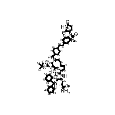 Cn1c(=O)n(C2CCC(=O)NC2=O)c2ccc(CCC3CCC(C(=O)N4CCC5=CC[C@@H](C(=O)N[C@@H](CCC(N)=O)C(=O)NC(c6ccccc6)c6ccccc6)N5C(=O)[C@@H](NC(=O)OC(C)(C)C)C4)CC3)cc21